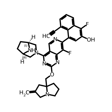 C#Cc1cccc2c(F)c(O)cc(-c3ncc4c(N5C[C@H]6CC[C@@H](C5)N6)nc(OCC56CCCN5CC(=C)C6)nc4c3F)c12